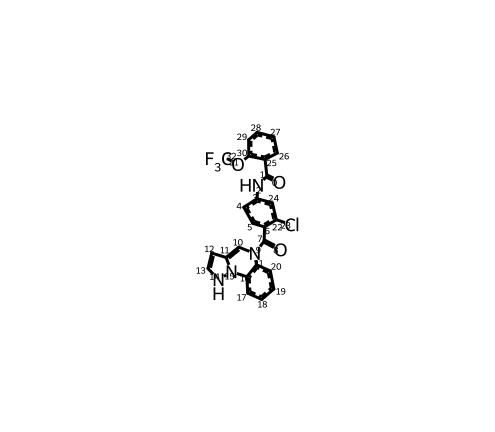 O=C(Nc1ccc(C(=O)N2C=C3C=CNN3c3ccccc32)c(Cl)c1)c1ccccc1OC(F)(F)F